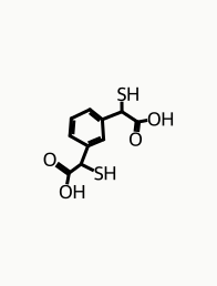 O=C(O)C(S)c1cccc(C(S)C(=O)O)c1